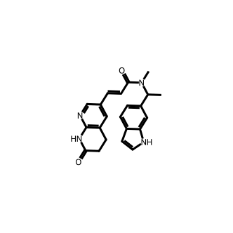 CC(c1ccc2cc[nH]c2c1)N(C)C(=O)C=Cc1cnc2c(c1)CCC(=O)N2